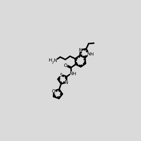 CCc1nc2c(CCCN)c(C(=O)Nc3nc(-c4ccco4)cs3)ccc2[nH]1